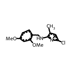 COc1ccc(CNc2c(C)c3c(Cl)n2-3)c(OC)c1